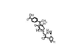 C[C@H](c1ccc(C(=O)O)cc1)N1C(=O)[C@@H]2C[C@H]1CN2C[C@H](N)C(=O)N1C2C[C@H]2C[C@H]1C#N